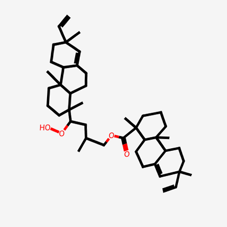 C=CC1(C)C=C2CCC3C(C)(C(=O)OCC(C)CC(OO)C4(C)CCCC5(C)C6CCC(C)(C=C)C=C6CCC45)CCCC3(C)C2CC1